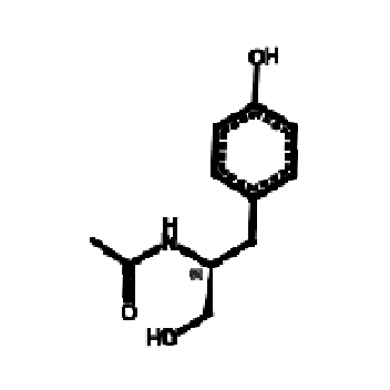 CC(=O)N[C@H](CO)Cc1ccc(O)cc1